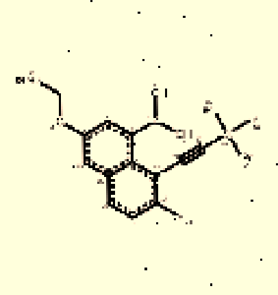 COCOc1cc(B(O)O)c2c(C#C[Si](C(C)C)(C(C)C)C(C)C)c(F)ccc2c1